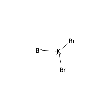 [Br][K]([Br])[Br]